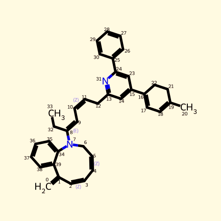 C=C1/C=C\C=C/CN(/C(=C/C=C\Cc2cc(C3=CC=C(C)CC3)cc(-c3ccccc3)n2)CC)c2ccccc21